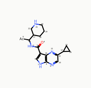 CC(=O)C(NC(=O)c1c[nH]c2ncc(C3CC3)nc12)C1CCCNC1